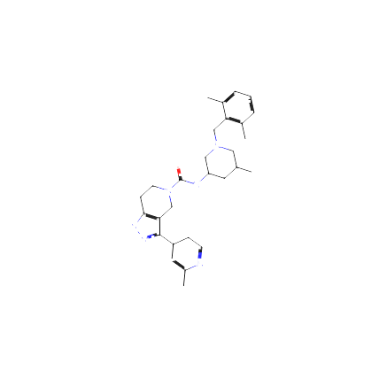 CC1=CC(c2n[nH]c3c2CN(C(=O)NC2CC(C)CN(Cc4c(C)cccc4C)C2)CC3)CC=N1